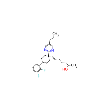 C=CCc1cnc(C2(C=CCCCC(C)O)C=CC(c3cccc(F)c3F)=CC2)nc1